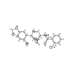 C=C(/C=N\C(=C/N)c1cc2c(cc1Br)OCO2)NC(=O)c1ccccc1Cl